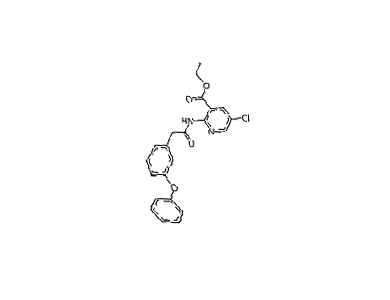 CCOC(=O)c1cc(Cl)cnc1NC(=O)Cc1cccc(Oc2ccccc2)c1